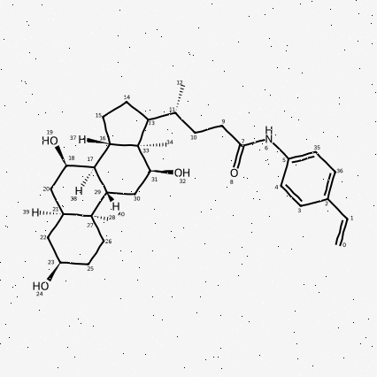 C=Cc1ccc(NC(=O)CC[C@@H](C)C2CC[C@H]3[C@@H]4[C@H](O)C[C@@H]5C[C@H](O)CC[C@]5(C)[C@H]4C[C@H](O)[C@]23C)cc1